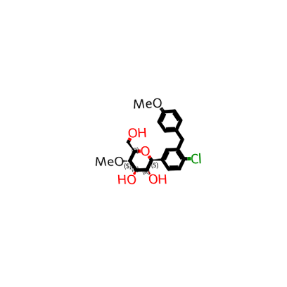 COc1ccc(Cc2cc([C@@H]3O[C@H](CO)[C@@H](OC)[C@H](O)[C@H]3O)ccc2Cl)cc1